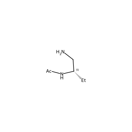 CC[C@@H](CN)NC(C)=O